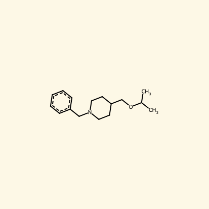 CC(C)OCC1CCN(Cc2ccccc2)CC1